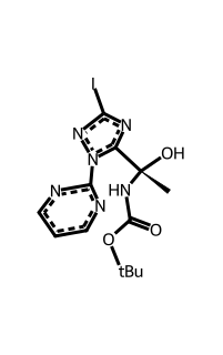 CC(C)(C)OC(=O)N[C@@](C)(O)c1nc(I)nn1-c1ncccn1